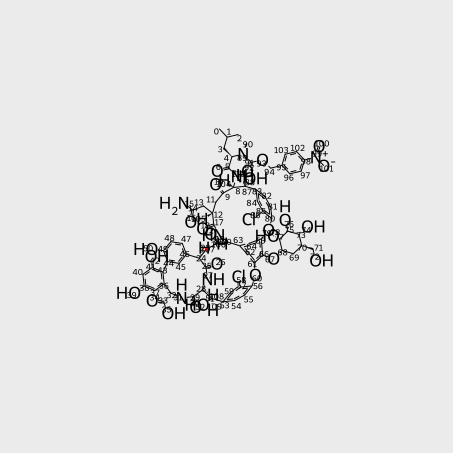 CC(C)C[C@H](C(=O)N[C@H]1C(=O)C[C@@H](CC(N)=O)C(=O)N[C@H]2C(=O)C[C@H]3C(=O)N[C@H](C(=O)N[C@H](C(=O)O)c4cc(O)cc(O)c4-c4cc3ccc4O)[C@H](O)c3ccc(c(Cl)c3)Oc3cc2cc(c3O[C@@H]2C[C@H](CO)[C@@H](O)[C@H](O)[C@H]2O)Oc2ccc(cc2Cl)[C@H]1O)N(C)C(=O)OCc1ccc([N+](=O)[O-])cc1